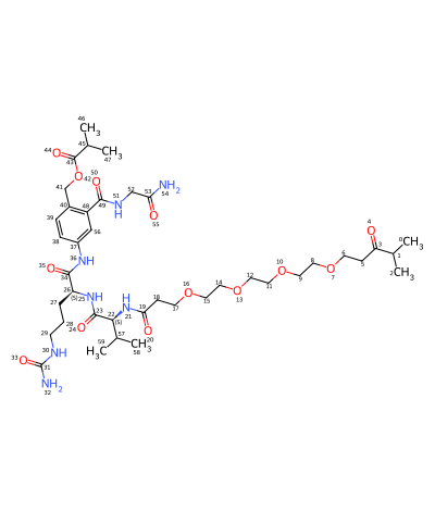 CC(C)C(=O)CCOCCOCCOCCOCCC(=O)N[C@H](C(=O)N[C@@H](CCCNC(N)=O)C(=O)Nc1ccc(COC(=O)C(C)C)c(C(=O)NCC(N)=O)c1)C(C)C